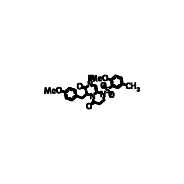 COc1ccc(CC2C(=O)N(C(C)C)C=C3N2C(=O)CCN3S(=O)(=O)c2cc(C)ccc2OC)cc1